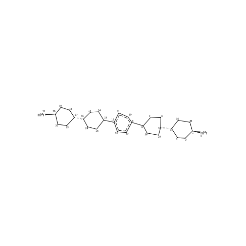 CCC[C@H]1CC[C@H](C2CCC(c3ccc(C4CCC([C@H]5CC[C@H](CCC)CC5)CC4)cc3)CC2)CC1